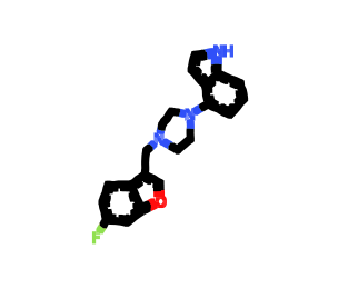 Fc1ccc2c(CN3CCN(c4cccc5[nH]ccc45)CC3)coc2c1